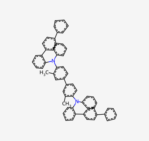 Cc1cc(-c2ccc(N(c3ccccc3)c3ccccc3-c3ccc(-c4ccccc4)cc3)c(C)c2)ccc1N(c1ccccc1)c1ccccc1-c1ccc(-c2ccccc2)cc1